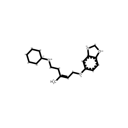 CC(=CCOc1ccc2c(c1)OCO2)CCOC1CCCCC1